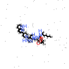 CCCCCC(C)NC(=O)N[C@@H](CNC1=NCNC(N2CCC(c3ccc4c(n3)NCCC4)CC2)=C1CC)C(=O)OC(C)(C)C